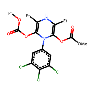 CCC1=C(OC(=O)OC)N(c2cc(Cl)c(Cl)c(Cl)c2)C(OC(=O)OC(C)C)=C(CC)N1